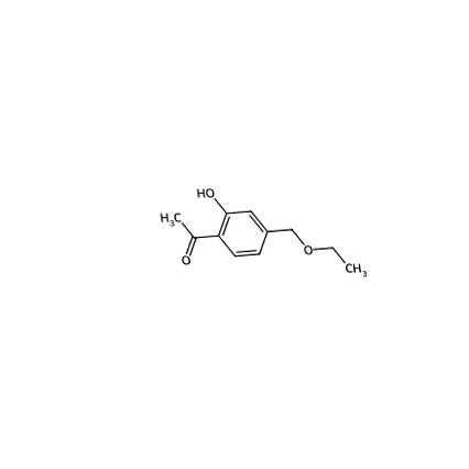 CCOCc1ccc(C(C)=O)c(O)c1